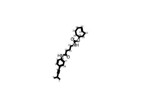 CC(C)C#Cc1ccc(NC(=O)CCCNC(=O)OC2CC/C=C/CCC2)cc1